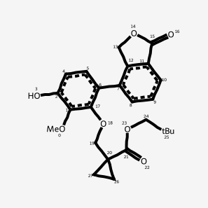 COc1c(O)ccc(-c2cccc3c2COC3=O)c1OCC1(C(=O)OCC(C)(C)C)CC1